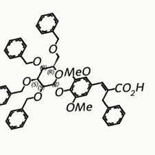 COc1cc(C=C(Cc2ccccc2)C(=O)O)cc(OC)c1O[C@H]1O[C@H](COCc2ccccc2)[C@@H](OCc2ccccc2)[C@H](OCc2ccccc2)[C@@H]1OCc1ccccc1